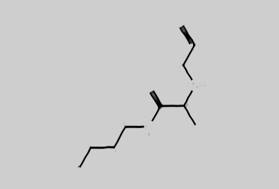 C=CCNC(C)C(=O)OCCCC